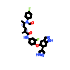 C/C(=C/C=C(\C)C(=O)Nc1ccc(Oc2cc3cn[nH]c3cc2-c2cn[nH]c2)c(F)c1)N(C=O)c1ccc(F)cc1